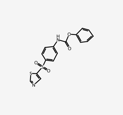 O=C(Nc1ccc(S(=O)(=O)c2cncs2)cc1)Oc1ccccc1